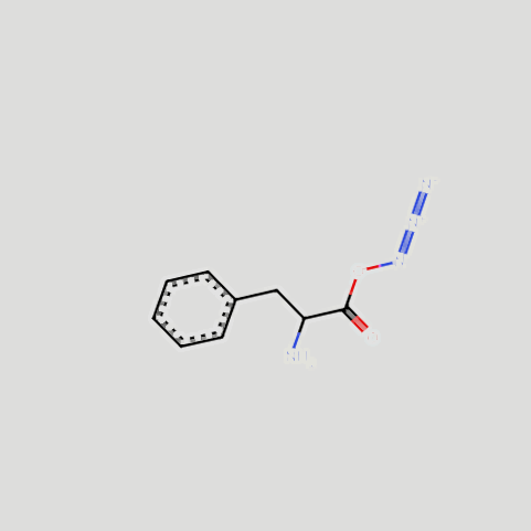 [N-]=[N+]=NOC(=O)C(N)Cc1ccccc1